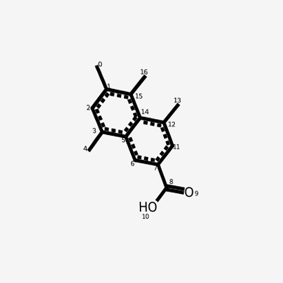 Cc1cc(C)c2cc(C(=O)O)cc(C)c2c1C